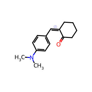 CN(C)c1ccc(/C=C2/CCCCC2=O)cc1